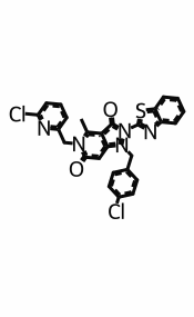 Cc1c2c(=O)n(-c3nc4ccccc4s3)n(Cc3ccc(Cl)cc3)c2cc(=O)n1Cc1cccc(Cl)n1